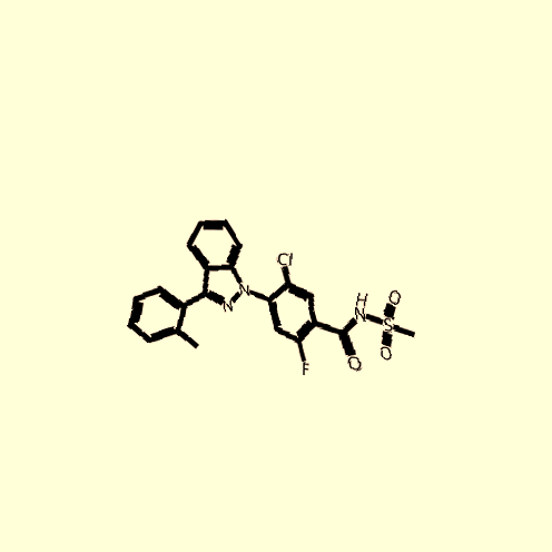 Cc1ccccc1-c1nn(-c2cc(F)c(C(=O)NS(C)(=O)=O)cc2Cl)c2ccccc12